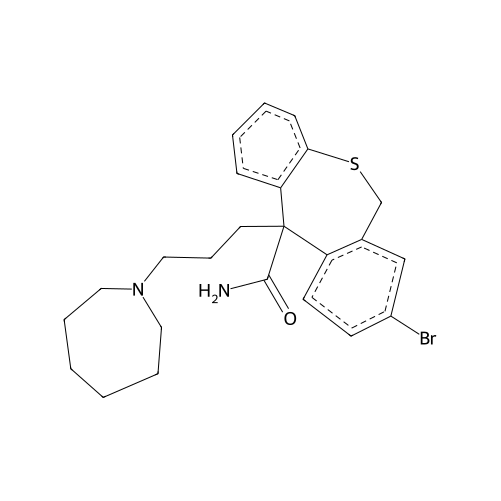 NC(=O)C1(CCCN2CCCCCC2)c2ccc(Br)cc2CSc2ccccc21